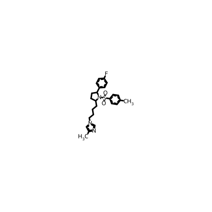 Cc1ccc(S(=O)(=O)N2C(CCCCn3cnc(C)c3)CCC2c2ccc(F)cc2)cc1